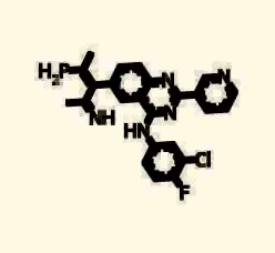 CC(=N)/C(=C(/C)P)c1ccc2nc(-c3cccnc3)nc(Nc3ccc(F)c(Cl)c3)c2c1